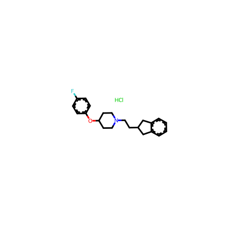 Cl.Fc1ccc(OC2CCN(CCC3Cc4ccccc4C3)CC2)cc1